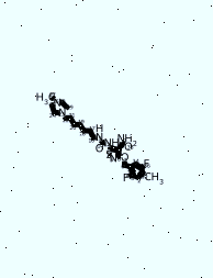 Cc1cc(F)c(COc2nsc(NC(=O)NCCCCCCCN3CCN(C)CC3)c2C(N)=O)cc1F